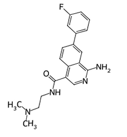 CN(C)CCNC(=O)c1cnc(N)c2cc(-c3cccc(F)c3)ccc12